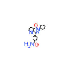 NC(=O)c1ccc(-c2nn(-c3ccccc3)c(=O)c3cccnc23)cc1